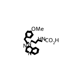 COc1ccc(Cc2nc3cnc4ccccc4c3n2CCCCNC(=O)O)cc1